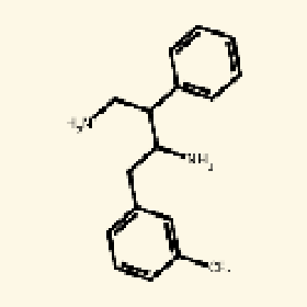 NCC(c1ccccc1)C(N)Cc1cccc(C(F)(F)F)c1